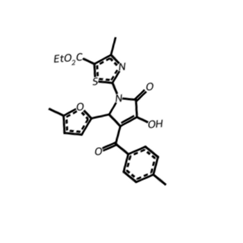 CCOC(=O)c1sc(N2C(=O)C(O)=C(C(=O)c3ccc(C)cc3)C2c2ccc(C)o2)nc1C